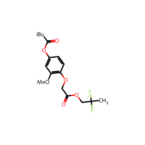 CCC(C)C(=O)Oc1ccc(OCC(=O)OCC(C)(F)F)c(OC)c1